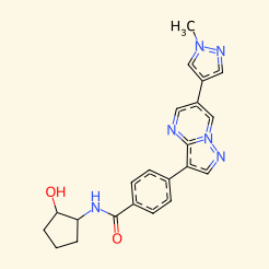 Cn1cc(-c2cnc3c(-c4ccc(C(=O)NC5CCCC5O)cc4)cnn3c2)cn1